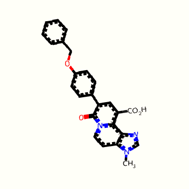 Cn1cnc2c1ccn1c(=O)c(-c3ccc(OCc4ccccc4)cc3)cc(C(=O)O)c21